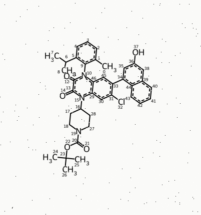 Cc1cccc(C(C)C)c1-n1c(=O)c(=O)n(C2CCN(C(=O)OC(C)(C)C)CC2)c2cc(Cl)c(-c3cc(O)cc4ccccc34)cc21